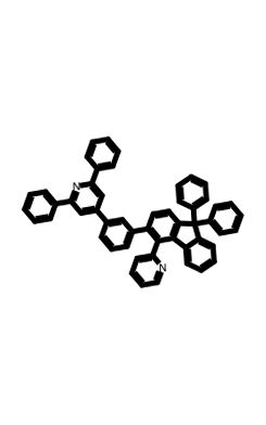 c1ccc(-c2cc(-c3cccc(-c4ccc5c(c4-c4ccccn4)-c4ccccc4C5(c4ccccc4)c4ccccc4)c3)cc(-c3ccccc3)n2)cc1